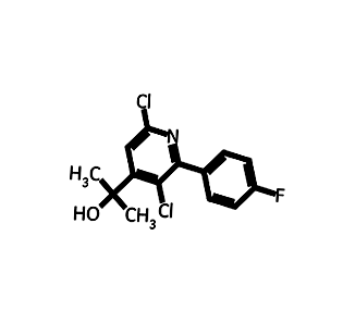 CC(C)(O)c1cc(Cl)nc(-c2ccc(F)cc2)c1Cl